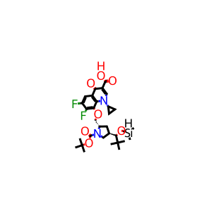 C[SiH](C)OC([C@@H]1C[C@@H](COc2c(F)c(F)cc3c(=O)c(C(=O)O)cn(C4CC4)c23)N(C(=O)OC(C)(C)C)C1)C(C)(C)C